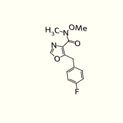 CON(C)C(=O)c1ncoc1Cc1ccc(F)cc1